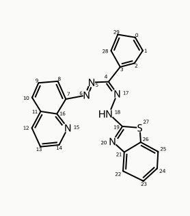 c1ccc(C(N=Nc2cccc3cccnc23)=NNc2nc3ccccc3s2)cc1